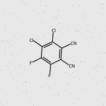 N#Cc1c(F)c(F)c(Cl)c(Cl)c1C#N